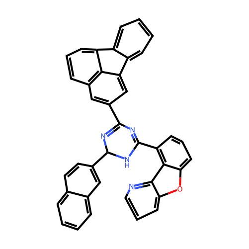 c1ccc2c(c1)-c1cccc3cc(C4=NC(c5ccc6ccccc6c5)NC(c5cccc6oc7cccnc7c56)=N4)cc-2c13